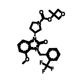 COc1cccc2c1n(Cc1ccccc1C(F)(F)F)c(=O)n2[C@@H]1CCN(C(=O)OC2(C)COC2)C1